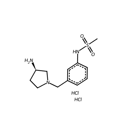 CS(=O)(=O)Nc1cccc(CN2CC[C@@H](N)C2)c1.Cl.Cl